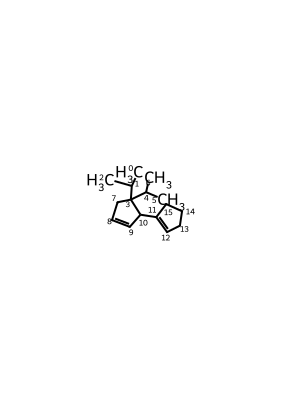 CC(C)C1(C(C)C)CC=CC1C1=CCCC1